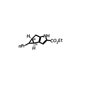 CCCC1[C@H]2Cc3[nH]c(C(=O)OCC)cc3[C@@H]12